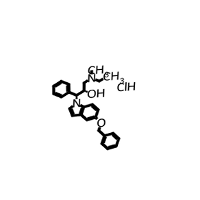 CCN(C)C[C@@H](O)[C@H](c1ccccc1)n1ccc2cc(OCc3ccccc3)ccc21.Cl